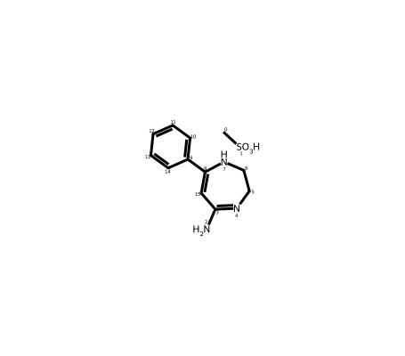 CS(=O)(=O)O.NC1=NCCNC(c2ccccc2)=C1